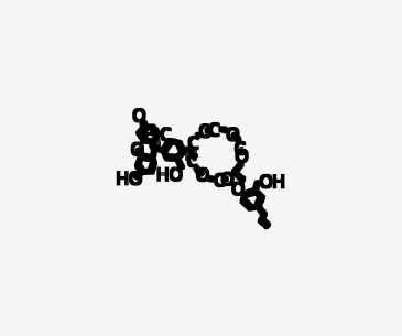 C=CCc1ccc(OCC2COCCOCCOCCN(c3cc(C(F)(F)F)c(-c4c5ccc(=O)cc-5oc5cc(O)ccc45)cc3CO)CCOCCO2)c(CO)c1